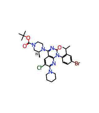 CC(C)c1cc(Br)ccc1-n1c(=O)nc(N2CCN(C(=O)OC(C)(C)C)C[C@@H]2C)c2cc(Cl)c(N3CCCCC3)nc21